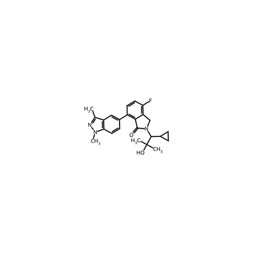 Cc1nn(C)c2ccc(-c3ccc(F)c4c3C(=O)N(C(C3CC3)C(C)(C)O)C4)cc12